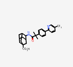 CC(C)(C(=O)NC1C2CC3CC1CC(C(=O)O)(C3)C2)c1ccc(-c2ccc(C(F)(F)F)cn2)cc1